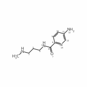 CNCCCNC(=O)c1ccc(N)cn1